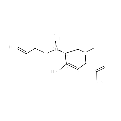 C=CCON(C)[C@H]1CN(C)[C@H](C(=O)OC)C=C1C